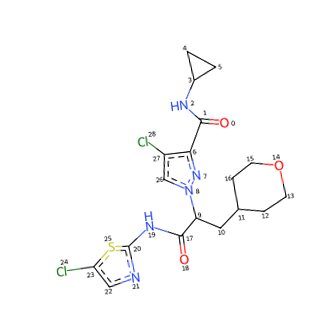 O=C(NC1CC1)c1nn(C(CC2CCOCC2)C(=O)Nc2ncc(Cl)s2)cc1Cl